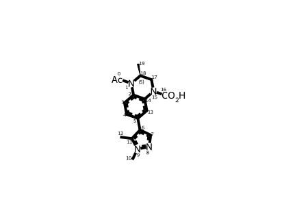 CC(=O)N1c2ccc(-c3cnn(C)c3C)cc2N(C(=O)O)C[C@@H]1C